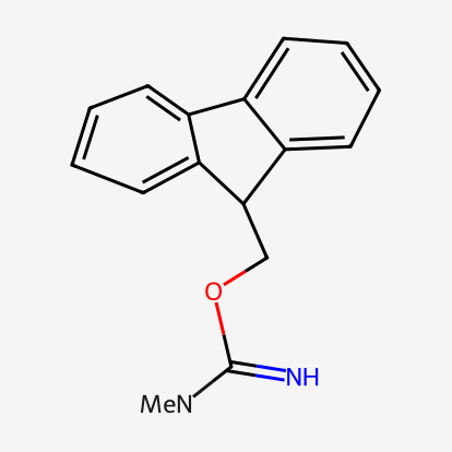 CNC(=N)OCC1c2ccccc2-c2ccccc21